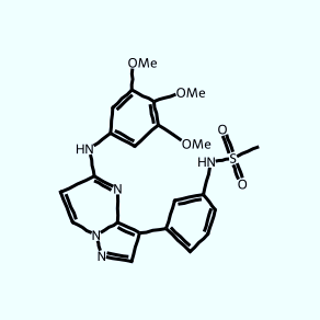 COc1cc(Nc2ccn3ncc(-c4cccc(NS(C)(=O)=O)c4)c3n2)cc(OC)c1OC